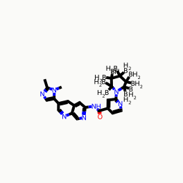 BC1(B)N(c2cc(C(=O)Nc3cc4cc(-c5cnc(C)n5C)cnc4cn3)ccn2)C(B)(B)C(B)(B)C(B)(B)C1(B)B